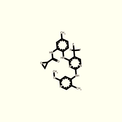 COc1cc(Nc2ncc(C(F)(F)F)c(Nc3ccc(C)cc3NC(=O)C3CO3)n2)c(C)cn1